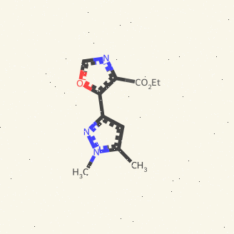 CCOC(=O)c1ncoc1-c1cc(C)n(C)n1